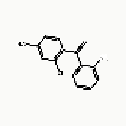 Nc1ccc(C(=O)c2ccccc2C(F)(F)F)c(Cl)c1